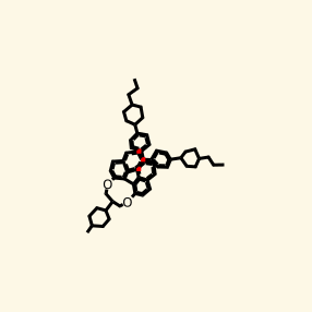 CCCC1CCC(c2ccc(-c3ccc4ccc5c(c4c3)-c3c(ccc4ccc(-c6ccc(C7CCC(CCC)CC7)cc6)cc34)OCC(C3CCC(C)CC3)CO5)cc2)CC1